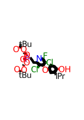 CC(C)c1cc(Oc2c(Cl)c(F)nc(CCP(=O)(OCOC(=O)C(C)(C)C)OCOC(=O)C(C)(C)C)c2Cl)ccc1O